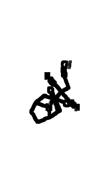 C#CCC(C#N)(C#N)C1=CC2CCC(C1)N2C(=O)O